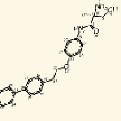 C[C@](N)(CO)C(=O)Nc1ccc(OCCc2ccc(-c3ccncc3)cc2)cc1